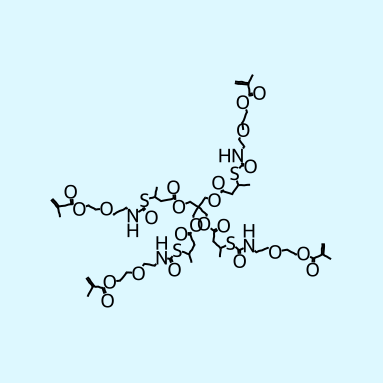 C=C(C)C(=O)OCCOCCNC(=O)SC(C)CC(=O)OCC(COC(=O)CC(C)SC(=O)NCCOCCOC(=O)C(=C)C)(COC(=O)CC(C)SC(=O)NCCOCCOC(=O)C(=C)C)COC(=O)CC(C)SC(=O)NCCOCCOC(=O)C(=C)C